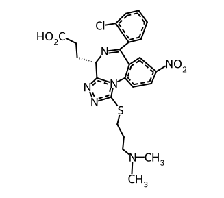 CN(C)CCCSc1nnc2n1-c1ccc([N+](=O)[O-])cc1C(c1ccccc1Cl)=N[C@H]2CCC(=O)O